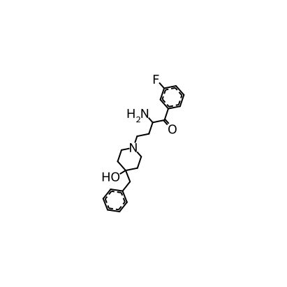 NC(CCN1CCC(O)(Cc2ccccc2)CC1)C(=O)c1cccc(F)c1